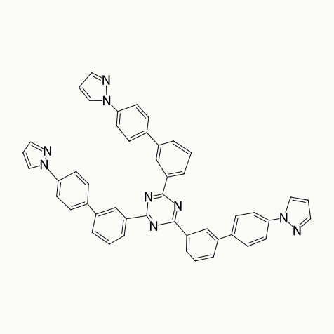 c1cc(-c2ccc(-n3cccn3)cc2)cc(-c2nc(-c3cccc(-c4ccc(-n5cccn5)cc4)c3)nc(-c3cccc(-c4ccc(-n5cccn5)cc4)c3)n2)c1